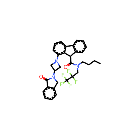 CCCCN(CC(F)(F)C(F)(F)F)C(=O)C1c2ccccc2-c2cccc(N3CC(N4Cc5ccccc5C4=O)C3)c21